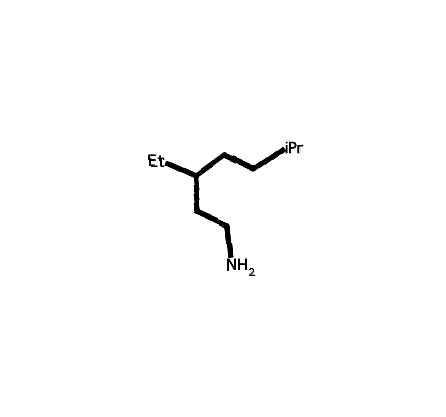 CCC(CCN)CCC(C)C